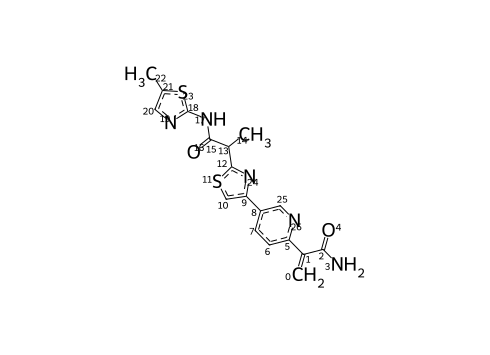 C=C(C(N)=O)c1ccc(-c2csc(C(C)C(=O)Nc3ncc(C)s3)n2)cn1